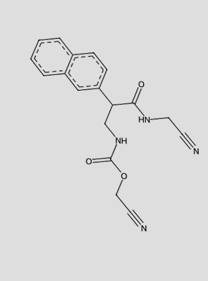 N#CCNC(=O)C(CNC(=O)OCC#N)c1ccc2ccccc2c1